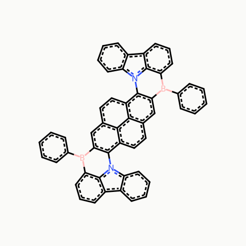 c1ccc(B2c3cc4ccc5c6c(cc7ccc(c3-n3c8ccccc8c8cccc2c83)c4c75)B(c2ccccc2)c2cccc3c4ccccc4n-6c23)cc1